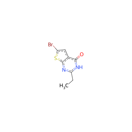 CCc1nc2sc(Br)cc2c(=O)[nH]1